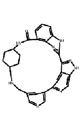 O=C1NC2CCC(CC2)NCc2cncc(c2)-c2cc3c(n[nH]c3cn2)-c2nc3c1cccc3[nH]2